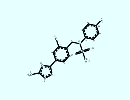 Cc1nnc(-c2ccc(CN(c3ccc(Cl)cc3)S(C)(=O)=O)c(F)c2)o1